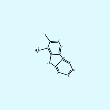 Nc1c(I)ccc2c1sc1ccccc12